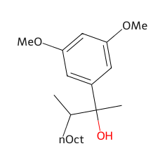 CCCCCCCCC(C)C(C)(O)c1cc(OC)cc(OC)c1